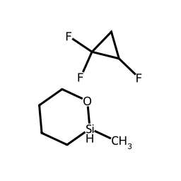 C[SiH]1CCCCO1.FC1CC1(F)F